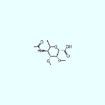 CO[C@@H]1[C@H](OC)[C@@H](NC(C)=O)C(C)O[C@@H]1C(=O)O